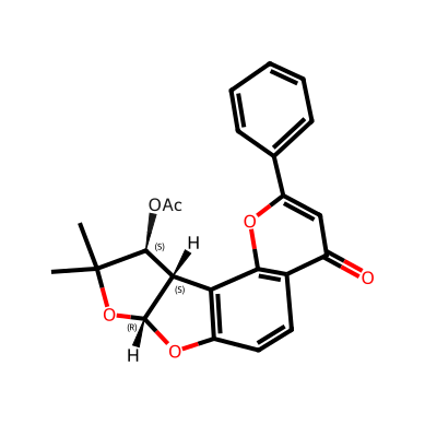 CC(=O)O[C@H]1[C@@H]2c3c(ccc4c(=O)cc(-c5ccccc5)oc34)O[C@@H]2OC1(C)C